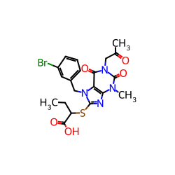 CCC(Sc1nc2c(c(=O)n(CC(C)=O)c(=O)n2C)n1Cc1cccc(Br)c1)C(=O)O